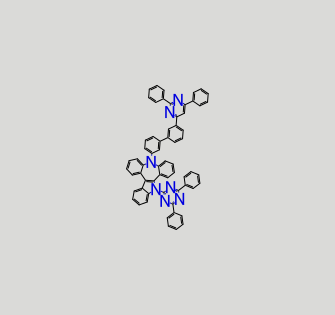 c1ccc(-c2cc(-c3cccc(-c4cccc(N5c6ccccc6-c6c(n(-c7nc(-c8ccccc8)nc(-c8ccccc8)n7)c7ccccc67)-c6ccccc65)c4)c3)nc(-c3ccccc3)n2)cc1